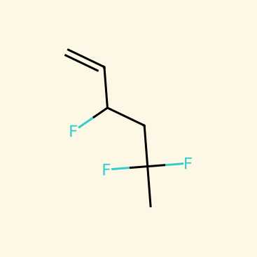 C=CC(F)CC(C)(F)F